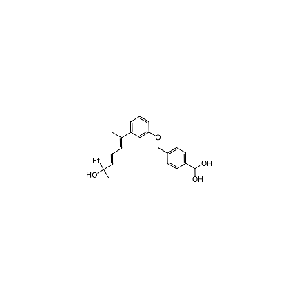 CCC(C)(O)C=CC=C(C)c1cccc(OCc2ccc(C(O)O)cc2)c1